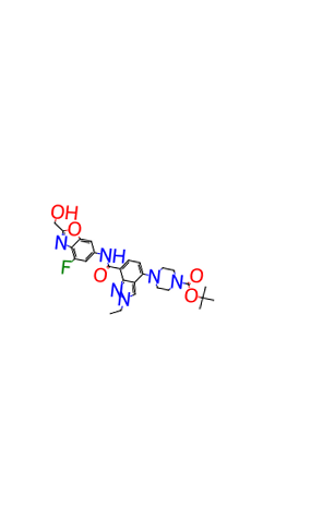 CCn1cc2c(N3CCN(C(=O)OC(C)(C)C)CC3)ccc(C(=O)Nc3cc(F)c4nc(CO)oc4c3)c2n1